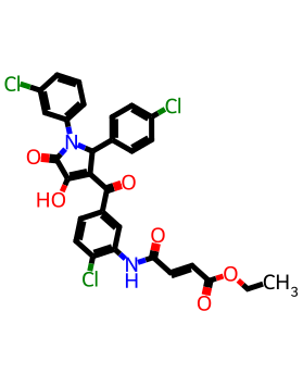 CCOC(=O)/C=C/C(=O)Nc1cc(C(=O)C2=C(O)C(=O)N(c3cccc(Cl)c3)C2c2ccc(Cl)cc2)ccc1Cl